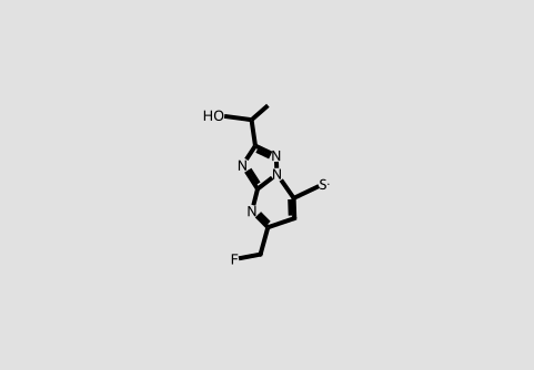 CC(O)c1nc2nc(CF)cc([S])n2n1